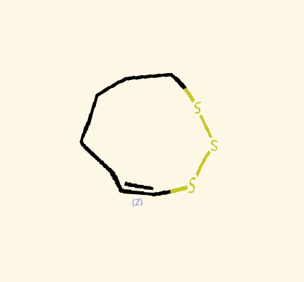 C1=C\SSSCCCC/1